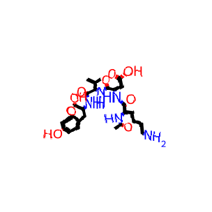 CC(=O)NC(CCCCN)C(=O)NC(CC(=O)O)C(=O)NC(C(=O)NC(Cc1ccc(O)cc1)C(=O)O)C(C)C